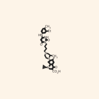 CCc1cc(Nc2cc(=O)n(CCCCN3CCN(c4cc5c(cc4F)c(=O)c(C(=O)O)cn5C4CC4)C(C)C3)c(=O)[nH]2)ccc1C